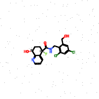 O=C(NCc1c(Cl)cc(Cl)cc1CO)[C@]1(F)CC[C@@H](O)c2ncccc21